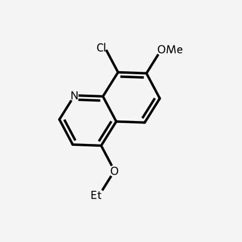 CCOc1ccnc2c(Cl)c(OC)ccc12